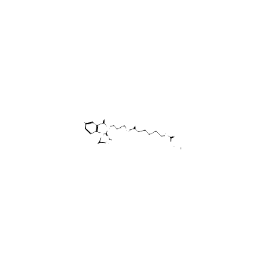 CC(C)(C)OC(=O)NCCCCCC(=O)NCCCn1c(=O)c2cc(F)ccc2n2c(=S)[nH]nc12